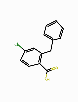 S=C(S)c1ccc(Cl)cc1Cc1ccccc1